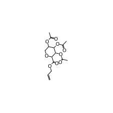 C=CCOC(=O)C1OCC(OC(C)=O)C(OC(C)=O)C1OC(C)=O